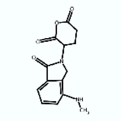 CNc1cccc2c1CN(C1CCC(=O)OC1=O)C2=O